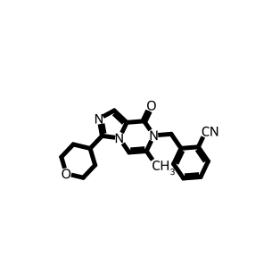 Cc1cn2c(C3CCOCC3)ncc2c(=O)n1Cc1ccccc1C#N